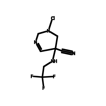 N#CC1(NCC(F)(F)F)C=NCN(Cl)C1